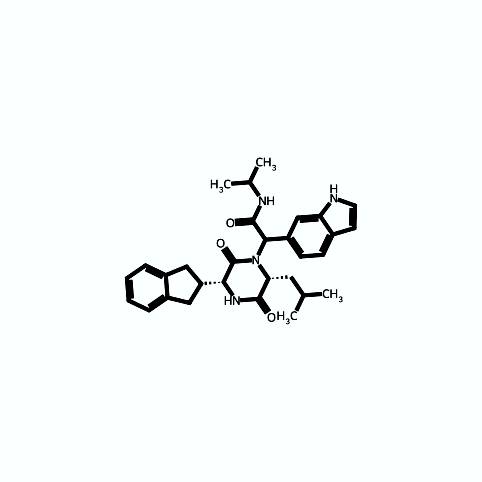 CC(C)C[C@@H]1C(=O)N[C@H](C2Cc3ccccc3C2)C(=O)N1C(C(=O)NC(C)C)c1ccc2cc[nH]c2c1